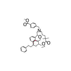 CCOC(=O)C(C)(C)CCCN(Cc1ccc(C(=O)OC)cc1)CC(OCC1=CC=C(CCc2ccccc2)CC1C)c1ccccc1